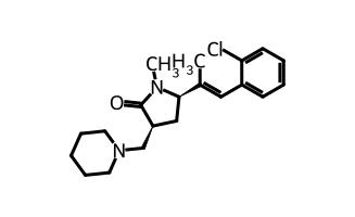 C/C(=C\c1ccccc1Cl)[C@H]1C[C@@H](CN2CCCCC2)C(=O)N1C